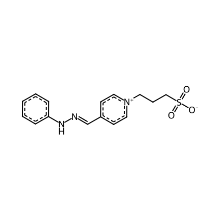 O=S(=O)([O-])CCC[n+]1ccc(/C=N/Nc2ccccc2)cc1